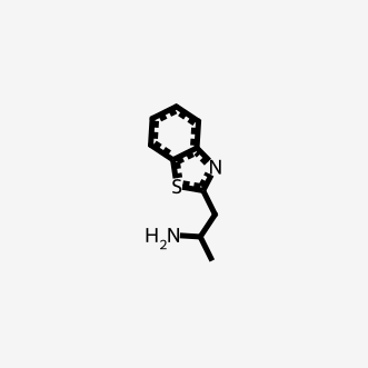 CC(N)Cc1nc2ccccc2s1